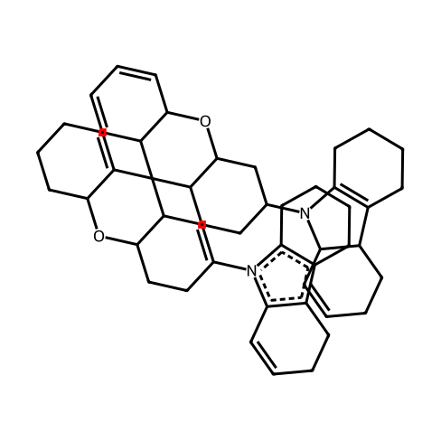 C1=CC2OC3CC(N4C5=C(CCCC5)C5CCC=CC54)CCC3C3(C4=CCCCC4OC4CCC(n5c6c(c7c5CCCC7)CCC=C6)=CC43)C2C=C1